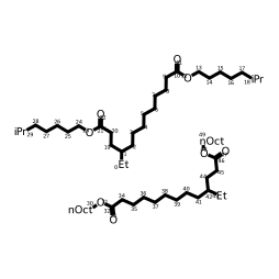 CCC(CCCCCCCCC(=O)OCCCCCC(C)C)CCC(=O)OCCCCCC(C)C.CCCCCCCCOC(=O)CCCCCCCCC(CC)CCC(=O)OCCCCCCCC